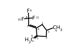 C=C1CC(C)C/C1=C\C(F)(F)F